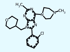 Cc1nc(N2CCN(C)CC2)c2nc(-c3ccccc3Cl)n(CC3CCOCC3)c2n1